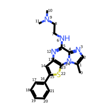 Cc1cnc2c(NCCN(C)C)nc3cc(-c4ccccc4)sc3n12